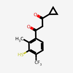 Cc1c(C(=O)CC(=O)C2CC2)ccc(C(F)(F)F)c1S